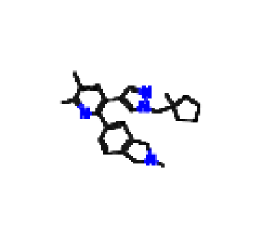 Cc1cc(-c2cnn(CC3(C)CCCC3)c2)c(-c2ccc3c(c2)CN(C)C3)nc1C